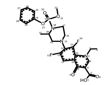 CCn1cc(C(=O)O)c(=O)c2cc(F)c(N3CCN(P(=O)(OC)Oc4ccccc4)C(C)C3)c(F)c21